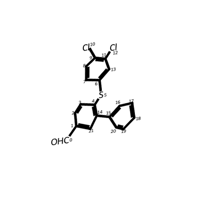 O=Cc1ccc(Sc2ccc(Cl)c(Cl)c2)c(-c2ccccc2)c1